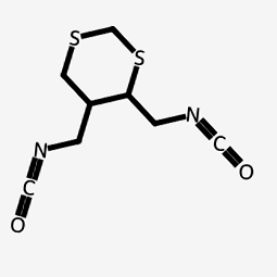 O=C=NCC1CSCSC1CN=C=O